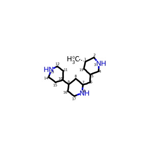 C[C@@H]1CNCC(CC2CC(C3CCNCC3)CCN2)C1